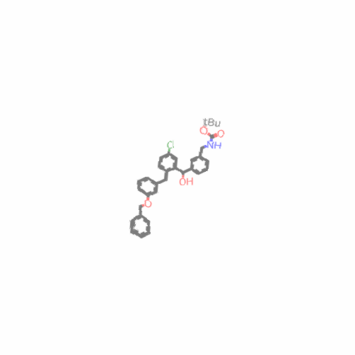 CC(C)(C)OC(=O)NCc1cccc(C(O)c2cc(Cl)ccc2Cc2cccc(OCc3ccccc3)c2)c1